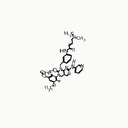 COc1cc(OC)c(F)c(N2Cc3cnc(Nc4cccnc4)nc3N(Cc3cccc(NC(=O)/C=C/CN(C)C)c3)C2=O)c1F